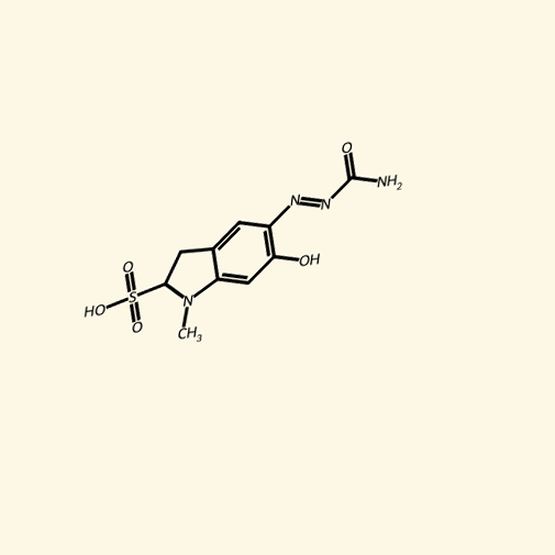 CN1c2cc(O)c(N=NC(N)=O)cc2CC1S(=O)(=O)O